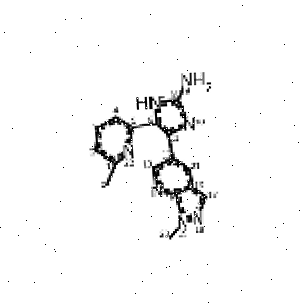 Cc1cccc(-c2[nH]c(N)nc2-c2cnc3c(cnn3C)c2)n1